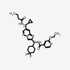 CCCC(=O)N[C@@H](c1cnn2cc([C@@H](NC(=O)c3ccnc(OCC)c3)C3CCC(F)(F)CC3)nc2c1)C1CC1